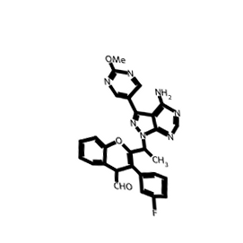 COc1ncc(-c2nn(C(C)C3=C(c4cccc(F)c4)C(C=O)c4ccccc4O3)c3ncnc(N)c23)cn1